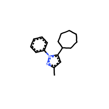 Cc1cc(C2CCCCCC2)n(-c2ccccc2)n1